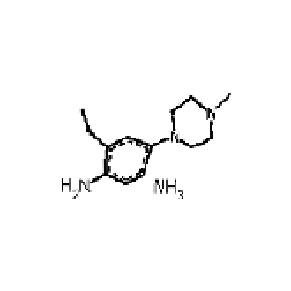 CCc1cc(N2CCN(C)CC2)ccc1N.N